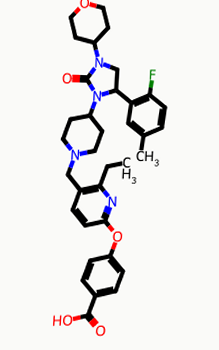 CCc1nc(Oc2ccc(C(=O)O)cc2)ccc1CN1CCC(N2C(=O)N(C3CCOCC3)CC2c2cc(C)ccc2F)CC1